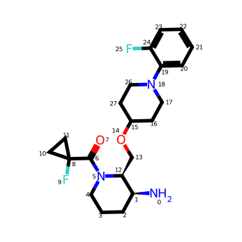 N[C@H]1CCCN(C(=O)C2(F)CC2)[C@H]1COC1CCN(c2ccccc2F)CC1